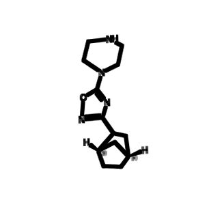 C1CN(c2nc(C3C[C@@H]4CC[C@H]3C4)no2)CCN1